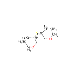 C1O[SiH2][SiH2][SiH2][SiH]1S[SiH]1CO[SiH2][SiH2][SiH2]1